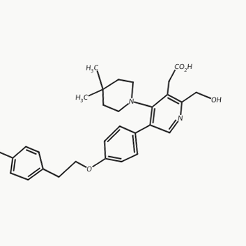 CC1(C)CCN(c2c(-c3ccc(OCCc4ccc(F)cc4)cc3)cnc(CO)c2CC(=O)O)CC1